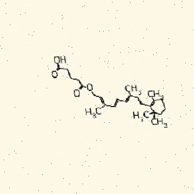 CC(C=CC1=C(C)CCCC1(C)C)=CC=CC(C)=CCOC(=O)CCCC(=O)O